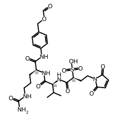 CC(C)[C@H](NC(=O)[C@H](CCN1C(=O)C=CC1=O)S(=O)(=O)O)C(=O)N[C@@H](CCCNC(N)=O)C(=O)Nc1ccc(COC=O)cc1